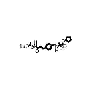 CC[C@@](C)(NCc1ccc(C=CC(=O)NOC(C)OCC(C)C)cc1)C(=O)OC1CCCC1